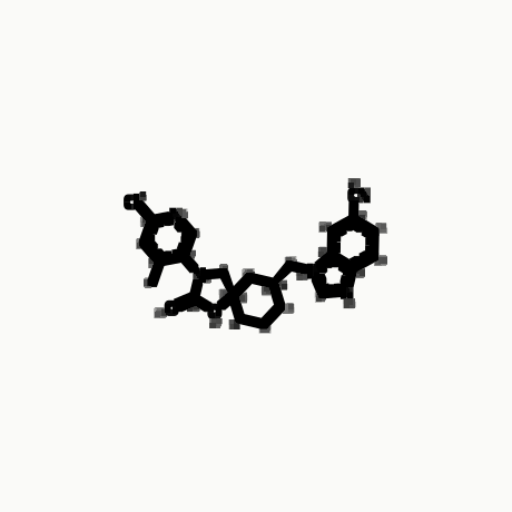 Cc1cc(Cl)ncc1N1C[C@@]2(CCC[C@H](Cn3cnc4ccc(C#N)cc43)C2)OC1=O